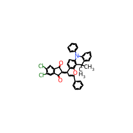 CC1(C)c2ccccc2N(c2ccccc2)c2ccc3c(c21)OC(c1ccccc1)=CC3=C1C(=O)c2cc(Cl)c(Cl)cc2C1=O